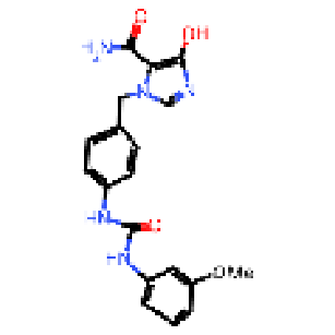 COc1cccc(NC(=O)Nc2ccc(Cn3cnc(O)c3C(N)=O)cc2)c1